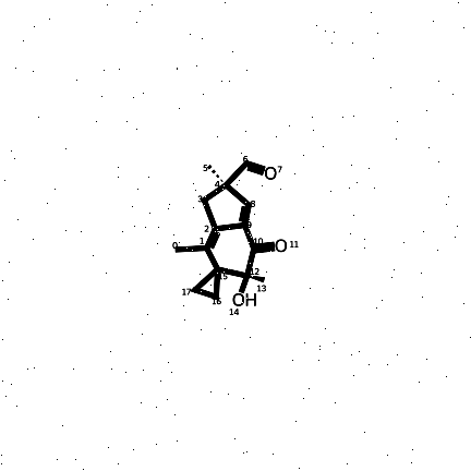 CC1=C2[CH][C@@](C)(C=O)C=C2C(=O)[C@](C)(O)C12CC2